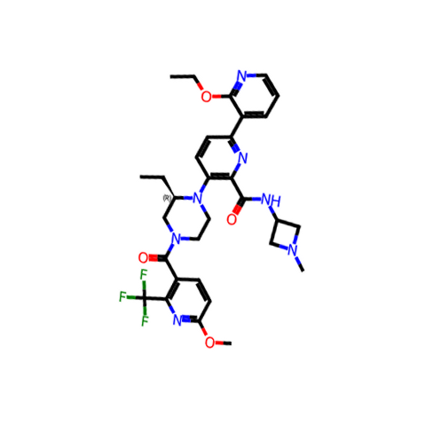 CCOc1ncccc1-c1ccc(N2CCN(C(=O)c3ccc(OC)nc3C(F)(F)F)C[C@H]2CC)c(C(=O)NC2CN(C)C2)n1